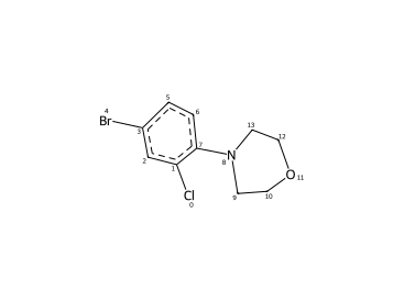 Clc1cc(Br)ccc1N1CCOCC1